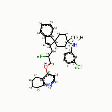 O=C(O)C1(Nc2cccc(Cl)c2)CCC2(CC1)C(CC(F)COc1ccnc3c1CCCC3)=Cc1ccccc12